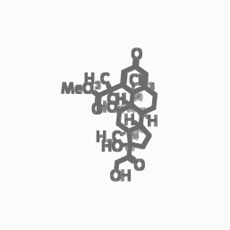 COC(=O)C(C)(C)C1=CC(=O)C=C2CC[C@@H]3[C@H]([C@@H](O)C[C@@]4(C)[C@H]3CC[C@]4(O)C(=O)CO)[C@]21C